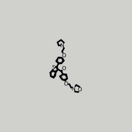 O=C(c1ccc(OCCN2CCOCC2)cc1)c1c(-c2ccc(OCCN3CCCC3)cc2)sc2ccccc12